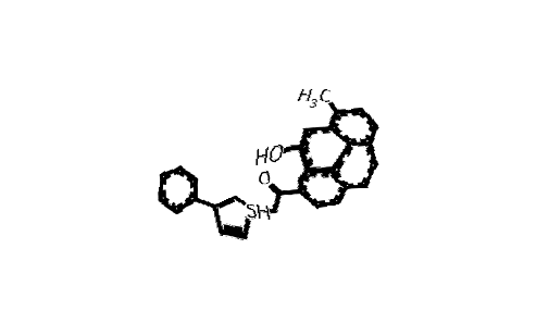 Cc1ccc2ccc3ccc(C(=O)C[SH]4C=CC(c5ccccc5)=C4)c4c(O)cc1c2c34